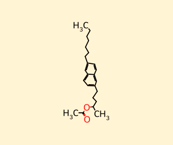 CCCCCCCc1ccc2cc(CCCC(C)OC(C)=O)ccc2c1